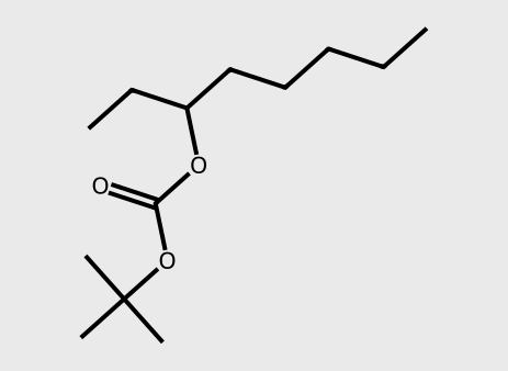 CCCCCC(CC)OC(=O)OC(C)(C)C